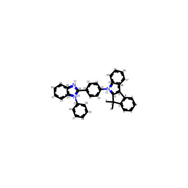 CC1(C)c2ccccc2-c2c1n(-c1ccc(-c3nc4ccccc4n3-c3ccccc3)cc1)c1ccccc21